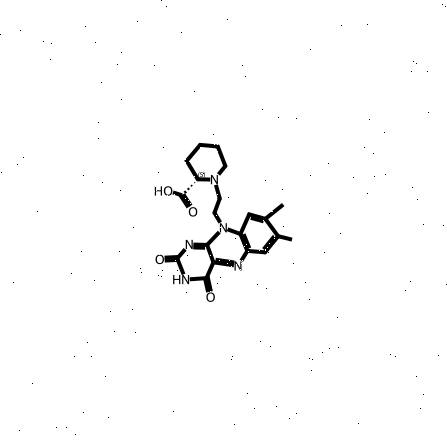 Cc1cc2nc3c(=O)[nH]c(=O)nc-3n(CCN3CCCC[C@H]3C(=O)O)c2cc1C